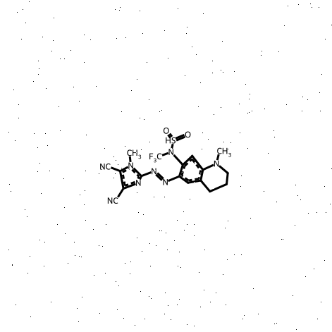 CN1CCCc2cc(N=Nc3nc(C#N)c(C#N)n3C)c(N([SH](=O)=O)C(F)(F)F)cc21